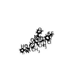 CCc1c(N2CCN(c3cnn(C4CCCC4)c3O)[C@H](C)C2)c(=O)n2nc(C3=CCOCC3)nc2n1CC(=O)Nc1ccc(C(F)(F)F)cc1Cl